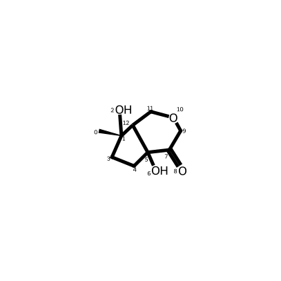 C[C@]1(O)CCC2(O)C(=O)COCC21